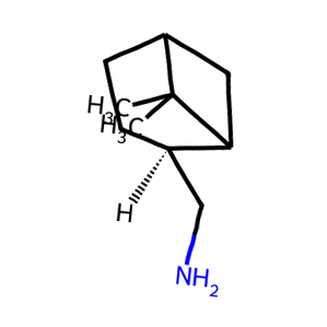 CC1(C)C2CC[C@H](CN)C1C2